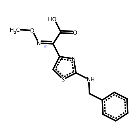 CO/N=C(\C(=O)O)c1csc(NCc2ccccc2)n1